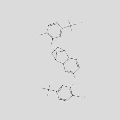 Nc1ccc(C(F)(F)F)cc1Oc1ccc2c(c1)C1CCC2C1Oc1cc(C(F)(F)F)ccc1N